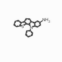 Nc1ccc2c(c1)c1ccc3c4ccccc4sc3c1n2-c1ccccc1